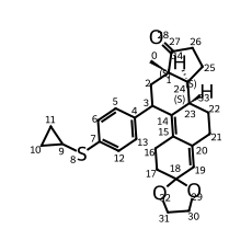 C[C@]12CC(c3ccc(SC4CC4)cc3)C3=C4CCC5(C=C4CC[C@H]3[C@@H]1CCC2=O)OCCO5